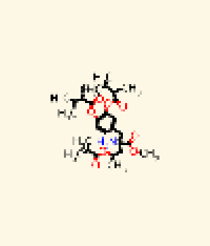 COC(=O)[C@](N)(Cc1ccc(OC(=O)C(C)C(C)C)c(OC(=O)C(C)C(C)C)c1)CC(C)OC(=O)C(C)C